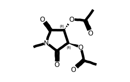 CC(=O)O[C@H]1C(=O)N(C)C(=O)[C@@H]1OC(C)=O